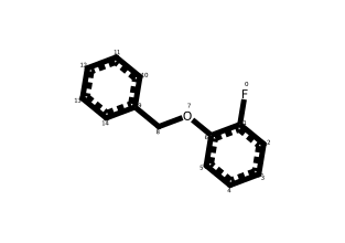 Fc1c[c]ccc1OCc1ccccc1